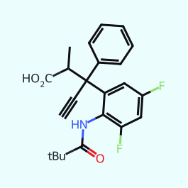 C#CC(c1ccccc1)(c1cc(F)cc(F)c1NC(=O)C(C)(C)C)C(C)C(=O)O